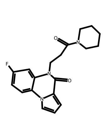 O=C(CCn1c(=O)c2cccn2c2ccc(F)cc21)N1CCCCC1